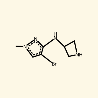 Cn1cc(Br)c(NC2CNC2)n1